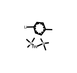 C[Si](C)(C)N[Si](C)(C)C.[Li][c]1ccc(C)cc1